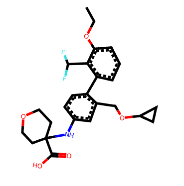 CCOc1cccc(-c2ccc(NC3(C(=O)O)CCOCC3)cc2COC2CC2)c1C(F)F